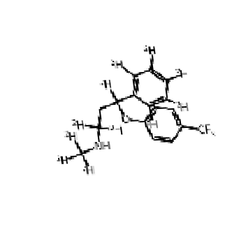 [2H]c1c([2H])c([2H])c(C([2H])(CC([2H])([2H])NC([2H])([2H])[2H])Oc2ccc(C(F)(F)F)cc2)c([2H])c1[2H]